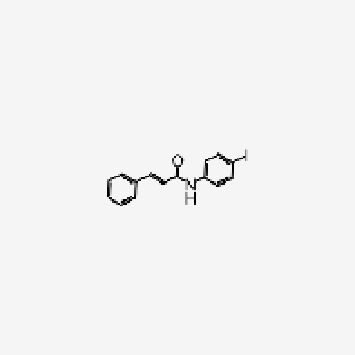 O=C(C=Cc1ccccc1)Nc1ccc(I)cc1